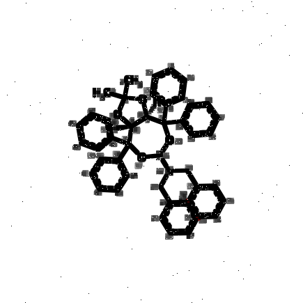 CC1(C)O[C@@H]2[C@@H](O1)C(c1ccccc1)(c1ccccc1)OP(N(Cc1ccccc1)Cc1ccccc1)OC2(c1ccccc1)c1ccccc1